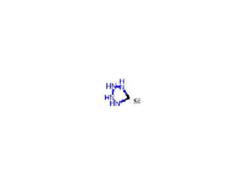 C1NNNN1.[Si]